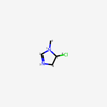 CN1C=N[C]C1Cl